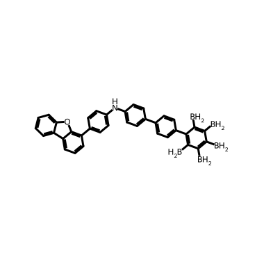 Bc1c(B)c(B)c(-c2ccc(-c3ccc(Nc4ccc(-c5cccc6c5oc5ccccc56)cc4)cc3)cc2)c(B)c1B